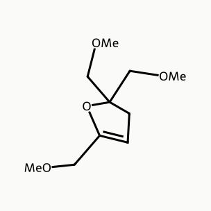 COCC1=CCC(COC)(COC)O1